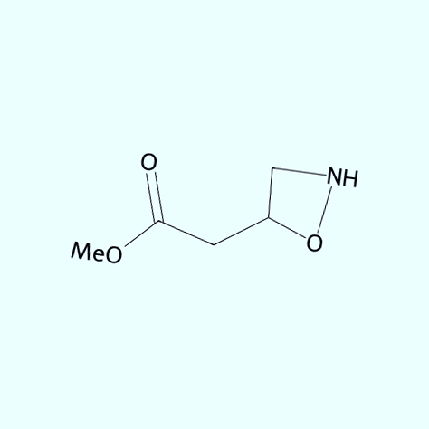 COC(=O)CC1CNO1